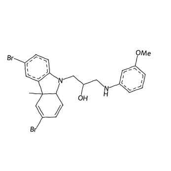 COc1cccc(NCC(O)CN2c3ccc(Br)cc3C3(C)C=C(Br)C=CC23)c1